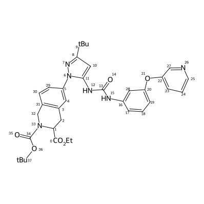 CCOC(=O)C1Cc2cc(-n3nc(C(C)(C)C)cc3NC(=O)Nc3cccc(Oc4cccnc4)c3)ccc2CN1C(=O)OC(C)(C)C